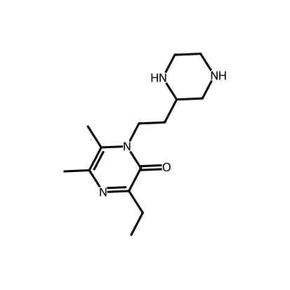 CCc1nc(C)c(C)n(CCC2CNCCN2)c1=O